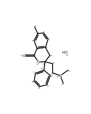 Cc1ccc2c(c1)C(=O)OC(CCN(C)C)(c1ccccc1)C2.Cl